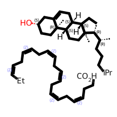 CC(C)CCC[C@@H](C)[C@H]1CC[C@H]2[C@@H]3CC=C4C[C@@H](O)CC[C@]4(C)[C@H]3CC[C@]12C.CC/C=C\C/C=C\C/C=C\C/C=C\C/C=C\C/C=C\CCC(=O)O